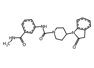 CNC(=O)c1cccc(NC(=O)N2CCC(N3C(=O)Cc4ccccc43)CC2)c1